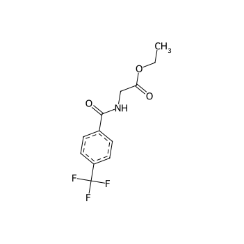 CCOC(=O)CNC(=O)c1ccc(C(F)(F)F)cc1